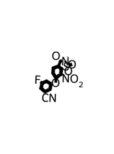 CN1C(=O)c2ccc(Oc3cc(F)cc(C#N)c3)c([N+](=O)[O-])c2S1(=O)=O